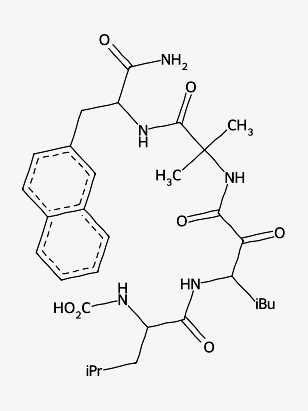 CCC(C)C(NC(=O)C(CC(C)C)NC(=O)O)C(=O)C(=O)NC(C)(C)C(=O)NC(Cc1ccc2ccccc2c1)C(N)=O